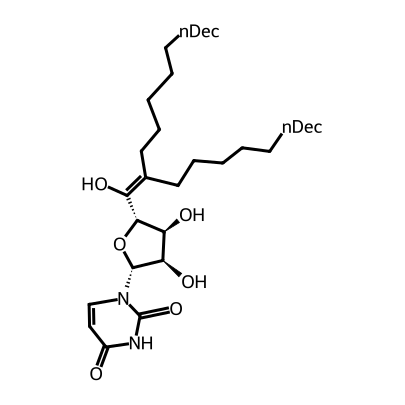 CCCCCCCCCCCCCCCC(CCCCCCCCCCCCCCC)=C(O)[C@H]1O[C@@H](n2ccc(=O)[nH]c2=O)[C@H](O)[C@@H]1O